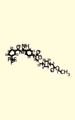 CCOC(=O)CN1CCN(C[C@@H]2CN(c3ccc(C(=N)NC(=O)c4cccc(C(F)(F)F)c4)cc3)C(=O)O2)CC1